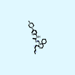 C=C(/N=C/N1C(/C=C\C=C\C)=NCCC12CCCCC2)Nc1ccc(N2CCN(C)CC2)cn1